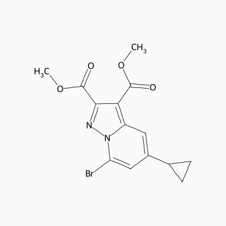 COC(=O)c1nn2c(Br)cc(C3CC3)cc2c1C(=O)OC